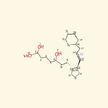 OC(O)CCCC(O)CC[C@H]1CCC[C@@H]1/C=C/CC1CCCCC1